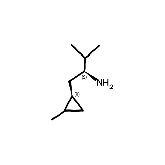 CC1C[C@@H]1C[C@H](N)C(C)C